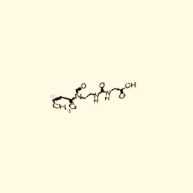 C/C=C\C(=O)N(C=O)CCNC(=O)NCC(=O)O